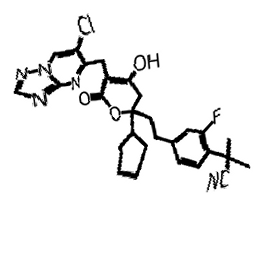 CC(C)(C#N)c1ccc(CCC2(C3CCCC3)CC(O)=C(Cc3nc4ncnn4cc3Cl)C(=O)O2)cc1F